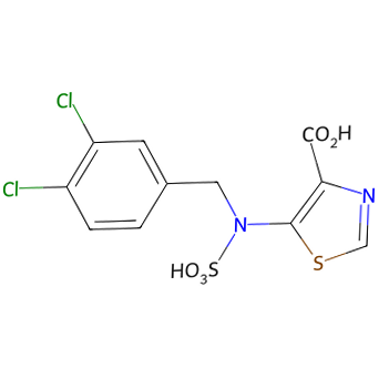 O=C(O)c1ncsc1N(Cc1ccc(Cl)c(Cl)c1)S(=O)(=O)O